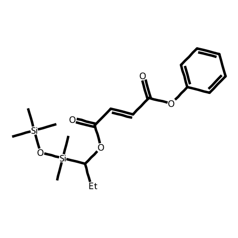 CCC(OC(=O)/C=C/C(=O)Oc1ccccc1)[Si](C)(C)O[Si](C)(C)C